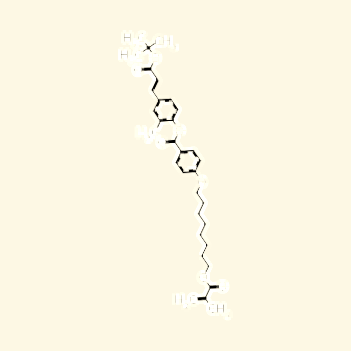 C=C(C)C(=O)OCCCCCCCCOc1ccc(C(=O)Oc2ccc(/C=C/C(=O)OC(C)(C)C)cc2C)cc1